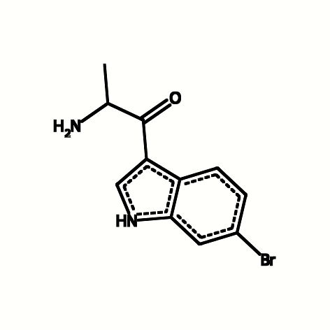 CC(N)C(=O)c1c[nH]c2cc(Br)ccc12